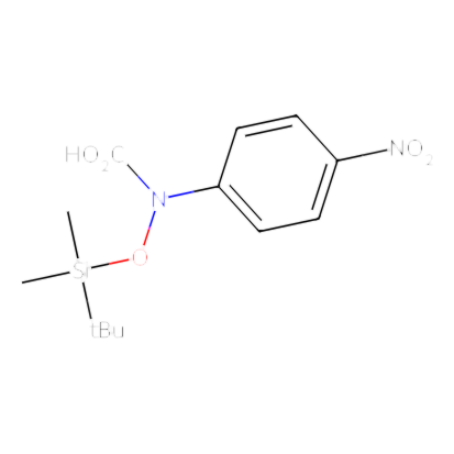 CC(C)(C)[Si](C)(C)ON(C(=O)O)c1ccc([N+](=O)[O-])cc1